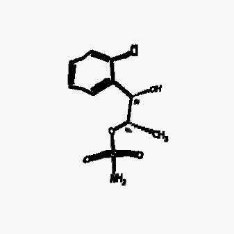 C[C@H](OS(N)(=O)=O)[C@@H](O)c1ccccc1Cl